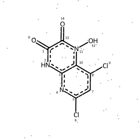 O=c1[nH]c2nc(Cl)cc(Cl)c2n(O)c1=O